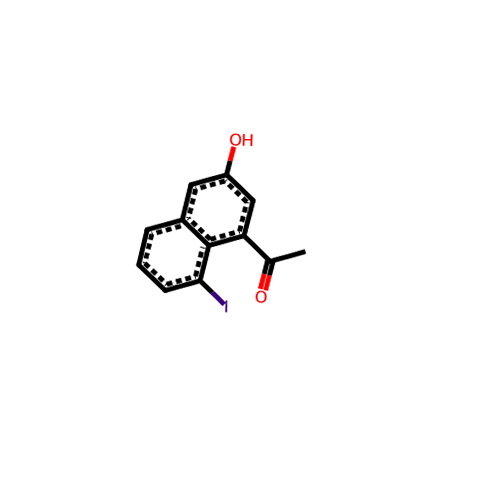 CC(=O)c1cc(O)cc2cccc(I)c12